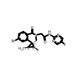 C[C@@H]1[C@H](F)[C@@]12CN(CC(=O)Nc1ncc(F)cn1)C(=O)c1ccc(Br)cc12